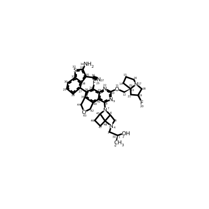 C[C@H](O)CN1CC2N(c3nc(OC[C@@]45CCCN4CC(F)C5)nc4c(F)c(-c5cccc6sc(N)c(C#N)c56)c5c(c34)COC5)C3CCC321